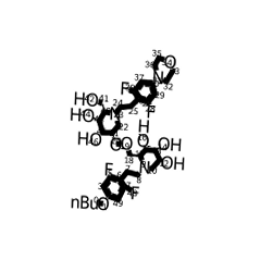 CCCCOc1cc(F)c(CCN2C[C@H](O)[C@@H](O)[C@H](O)[C@@H]2COO[C@H]2CN(CCc3c(F)cc(N4CCOCC4)cc3F)[C@@H](CO)[C@@H](O)[C@@H]2O)c(F)c1